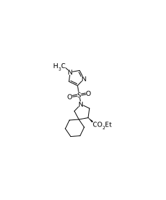 CCOC(=O)[C@@H]1CN(S(=O)(=O)c2cn(C)cn2)CC12CCCCC2